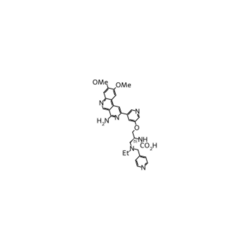 CCN(Cc1ccncc1)C[C@@H](COc1cncc(-c2cc3c(cnc4cc(OC)c(OC)cc43)c(N)n2)c1)NC(=O)O